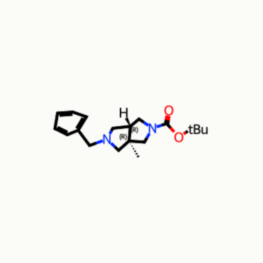 CC(C)(C)OC(=O)N1C[C@H]2CN(Cc3ccccc3)C[C@]2(C)C1